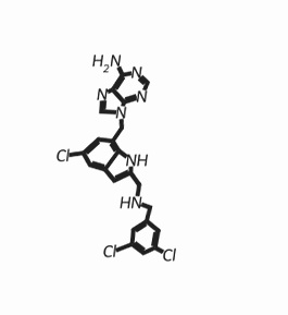 Nc1ncnc2c1ncn2Cc1cc(Cl)cc2cc(CNCc3cc(Cl)cc(Cl)c3)[nH]c12